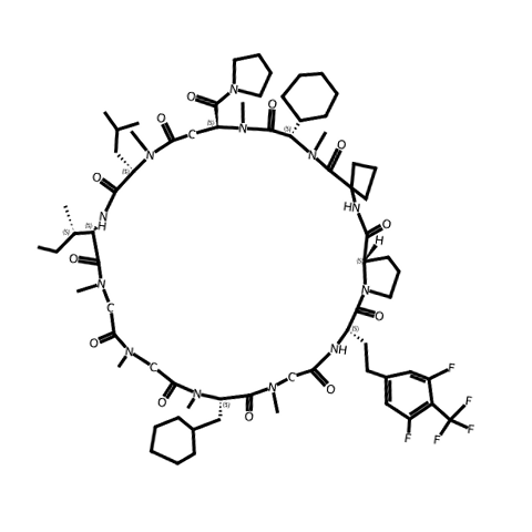 CC[C@H](C)[C@@H]1NC(=O)[C@H](CC(C)C)N(C)C(=O)C[C@@H](C(=O)N2CCCC2)N(C)C(=O)[C@H](C2CCCCC2)N(C)C(=O)C2(CCC2)NC(=O)[C@@H]2CCCN2C(=O)[C@H](CCc2cc(F)c(C(F)(F)F)c(F)c2)NC(=O)CN(C)C(=O)[C@H](CC2CCCCC2)N(C)C(=O)CN(C)C(=O)CN(C)C1=O